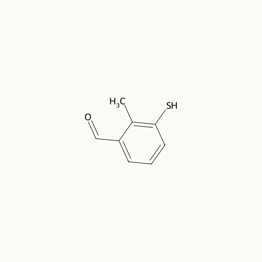 Cc1c(S)cccc1C=O